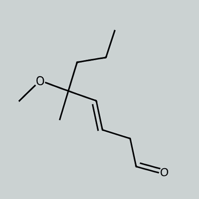 CCCC(C)(C=CCC=O)OC